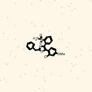 COc1ccc(-c2oc(Cc3ccccc3)nc2-c2ccccc2S(N)(=O)=O)c(Cl)c1